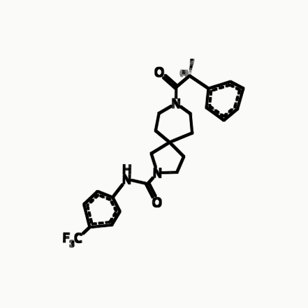 C[C@@H](C(=O)N1CCC2(CCN(C(=O)Nc3ccc(C(F)(F)F)cc3)C2)CC1)c1ccccc1